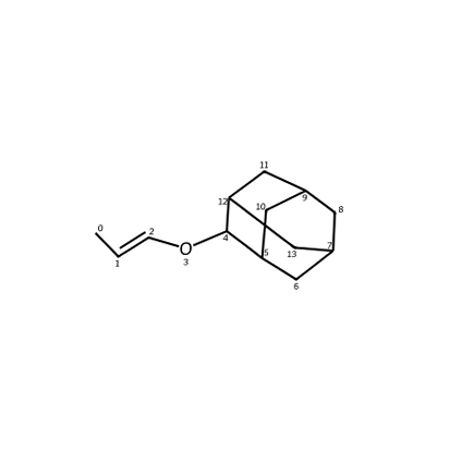 CC=COC1C2CC3CC(C2)CC1C3